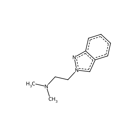 CN(C)CCn1cc2ccccc2n1